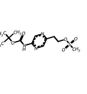 CC(C)(C)OC(=O)Nc1cnc(CCOS(C)(=O)=O)cn1